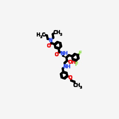 CCCOc1cccc(CNC[C@H](O)[C@H](CNC(=O)c2cccc(C(=O)N(CCC)CCC)c2)Cc2cc(F)cc(F)c2)c1